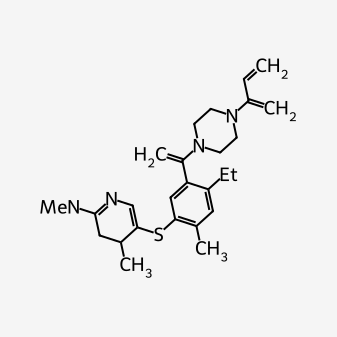 C=CC(=C)N1CCN(C(=C)c2cc(SC3=CN=C(NC)CC3C)c(C)cc2CC)CC1